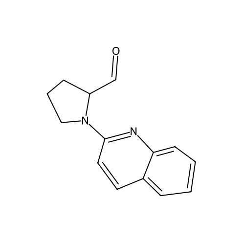 O=CC1CCCN1c1ccc2ccccc2n1